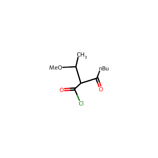 CCCCC(=O)C(C(=O)Cl)C(C)OC